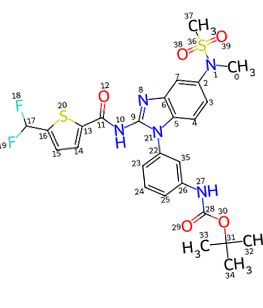 CN(c1ccc2c(c1)nc(NC(=O)c1ccc(C(F)F)s1)n2-c1cccc(NC(=O)OC(C)(C)C)c1)S(C)(=O)=O